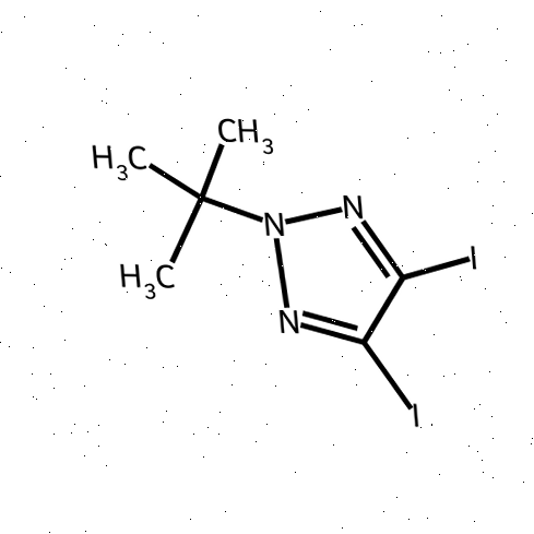 CC(C)(C)n1nc(I)c(I)n1